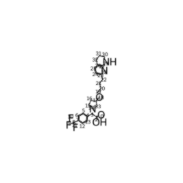 O=C(O)C(c1ccc(C(F)(F)F)cc1)N1CCC(OCCCCc2ccc3c(n2)NCCC3)C1